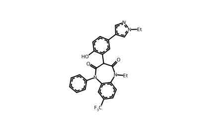 CCN1C(=O)C(c2cc(-c3cnn(CC)c3)ccc2O)C(=O)N(c2ccccc2)c2cc(C(F)(F)F)ccc21